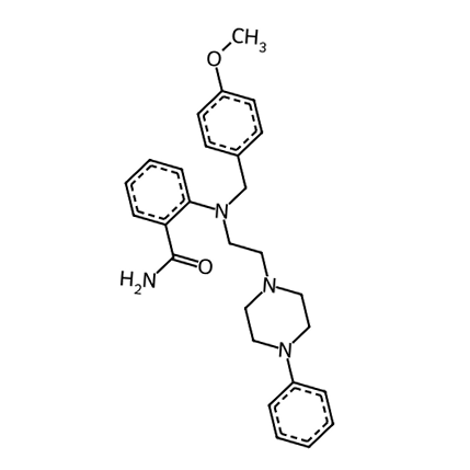 COc1ccc(CN(CCN2CCN(c3ccccc3)CC2)c2ccccc2C(N)=O)cc1